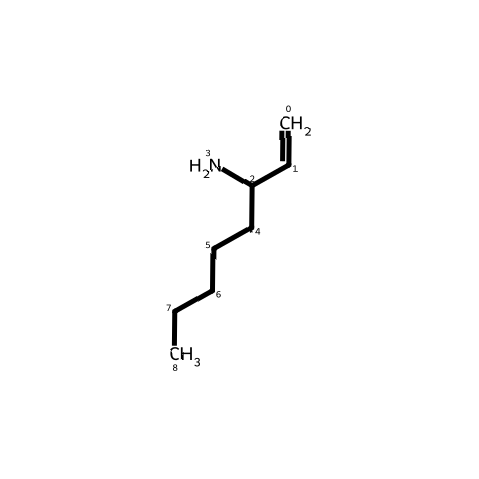 C=CC(N)[CH]CCCC